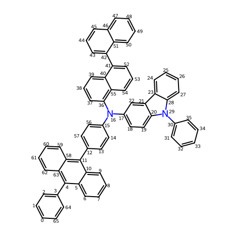 c1ccc(-c2c3ccccc3c(-c3ccc(N(c4ccc5c(c4)c4ccccc4n5-c4ccccc4)c4cccc5c(-c6cccc7ccccc67)cccc45)cc3)c3ccccc23)cc1